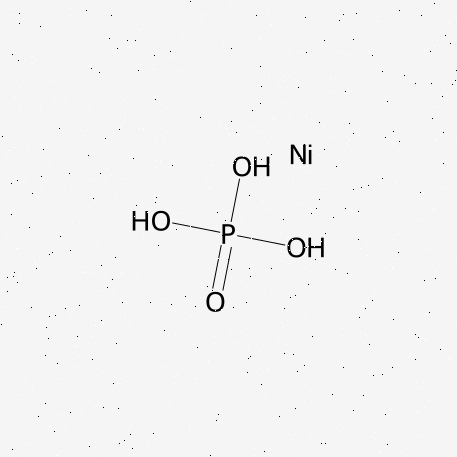 O=P(O)(O)O.[Ni]